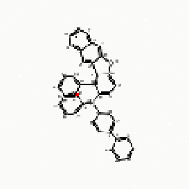 c1ccc(-c2ccc(N(c3ccccc3)c3ccc4oc5cc6ccccc6cc5c4c3-c3ccccc3)cc2)cc1